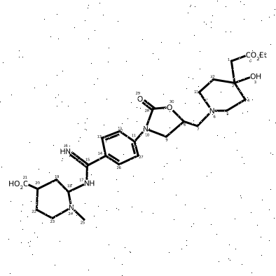 CCOC(=O)CC1(O)CCN(CC2CN(c3ccc(C(=N)NC4CC(C(=O)O)CCN4C)cc3)C(=O)O2)CC1